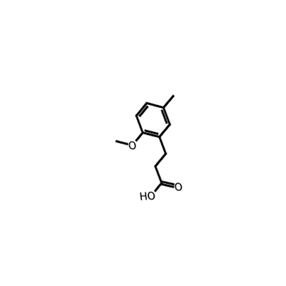 COc1ccc(C)cc1CCC(=O)O